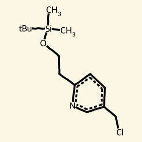 CC(C)(C)[Si](C)(C)OCCc1ccc(CCl)cn1